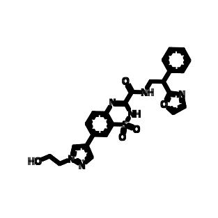 O=C(NCC(c1ccccc1)c1ncco1)C1=Nc2ccc(-c3cnn(CCO)c3)cc2S(=O)(=O)N1